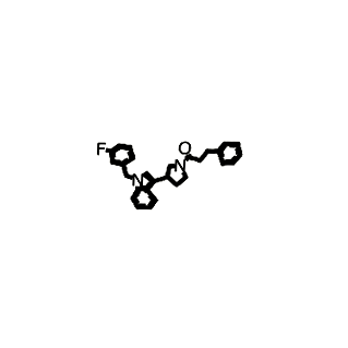 O=C(CCc1ccccc1)N1CCC(c2cn(Cc3cccc(F)c3)c3ccccc23)C1